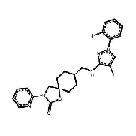 O=C1O[C@]2(CC[C@H](CNc3nn(-c4ccccc4F)cc3I)CC2)CN1c1ccccn1